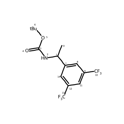 CC(NC(=O)OC(C)(C)C)c1cc(C(F)(F)F)cc(C(F)(F)F)c1